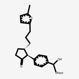 CCCCCC(O)c1ccc([C@H]2C(=O)CC[C@@H]2CCCc2ccc(C)s2)cc1